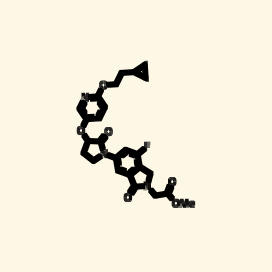 COC(=O)CN1Cc2c(F)cc(N3CCC(Oc4ccc(OCCC5CC5)nc4)C3=O)cc2C1=O